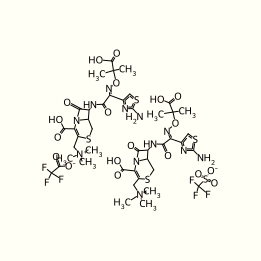 CC(C)(ON=C(C(=O)NC1C(=O)N2C(C(=O)O)=C(C[N+](C)(C)C)SCC12)c1csc(N)n1)C(=O)O.CC(C)(ON=C(C(=O)NC1C(=O)N2C(C(=O)O)=C(C[N+](C)(C)C)SCC12)c1csc(N)n1)C(=O)O.O=C([O-])C(F)(F)F.O=S(=O)([O-])C(F)(F)F